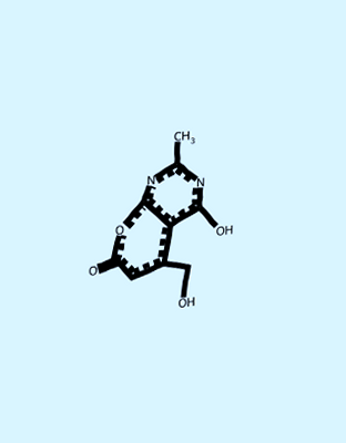 Cc1nc(O)c2c(CO)cc(=O)oc2n1